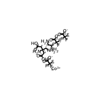 NCC(N)(CC(=O)O)CC(=O)O.NCCN.O=C([O-])C(F)(F)F.O=C([O-])C(F)(F)F.O=C([O-])C(F)(F)F.[Co+3]